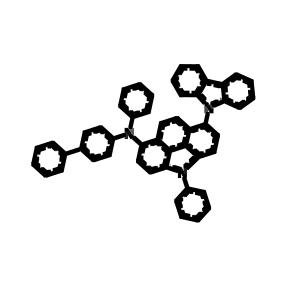 c1ccc(-c2ccc(N(c3ccccc3)c3ccc4c5c3ccc3c(-n6c7ccccc7c7ccccc76)ccc(c35)n4-c3ccccc3)cc2)cc1